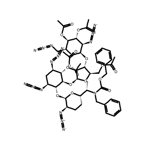 CC(=O)OC[C@H]1O[C@@H](O[C@@H]2[C@@H](OC(C)=O)[C@H](N=[N+]=[N-])C[C@H](N=[N+]=[N-])[C@H]2O[C@H]2O[C@H]([C@H](C)N(Cc3ccccc3)C(=O)OCc3ccccc3)CC[C@H]2N=[N+]=[N-])[C@H](OC(C)=O)[C@@H]1O[C@H]1O[C@@H](CN=[N+]=[N-])[C@@H](OC(C)=O)[C@H](OC(C)=O)[C@H]1N=[N+]=[N-]